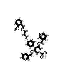 COc1ccccc1COCCCOc1ccc([C@H]2[C@@H](OCc3cccnc3)CN(C(=O)O)C[C@H]2OCc2cccnc2)cc1